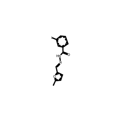 Cc1ccc(/C=N/NC(=O)c2cccc(I)c2)o1